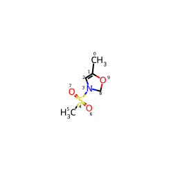 CC1=CN(S(C)(=O)=O)CO1